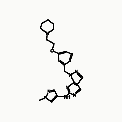 Cn1cc(Nc2ncc3cnn(Cc4cccc(OCCN5CCCCC5)c4)c3n2)cn1